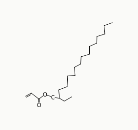 C=CC(=O)OCC(CC)CCCCCCCCCCCCCC